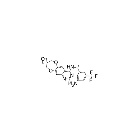 Cc1nc(NC(C)c2cc(N)cc(C(F)(F)F)c2)c2cc3c(cc2n1)OCC1(COC1)CO3